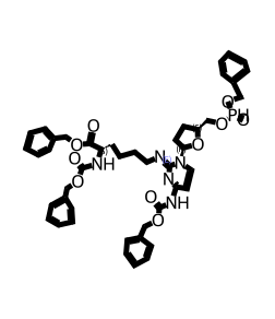 O=C(Nc1ccn([C@H]2CC[C@@H](CO[PH](=O)OCc3ccccc3)O2)/c(=N/CCCC[C@H](NC(=O)OCc2ccccc2)C(=O)OCc2ccccc2)n1)OCc1ccccc1